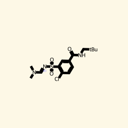 CN(C)/C=N/S(=O)(=O)c1cc(C(=O)NCC(C)(C)C)ccc1Cl